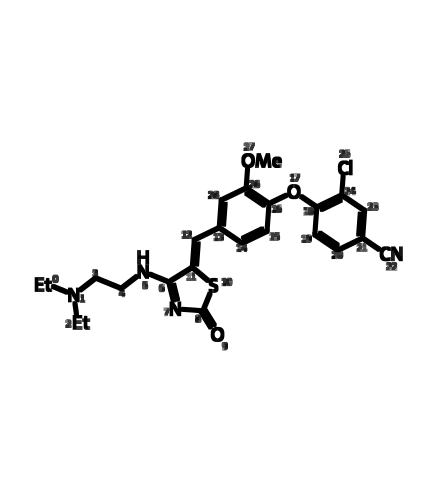 CCN(CC)CCNC1=NC(=O)S/C1=C\c1ccc(Oc2ccc(C#N)cc2Cl)c(OC)c1